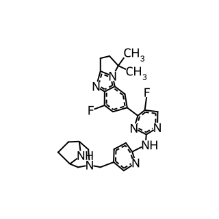 CC1(C)CCc2nc3c(F)cc(-c4nc(Nc5ccc(CN6CC7CCC(C6)N7)cn5)ncc4F)cc3n21